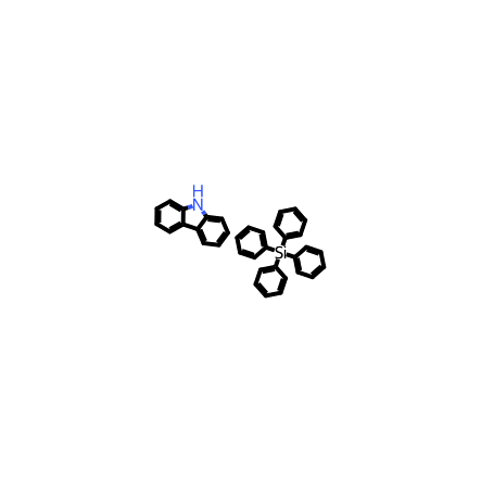 c1ccc([Si](c2ccccc2)(c2ccccc2)c2ccccc2)cc1.c1ccc2c(c1)[nH]c1ccccc12